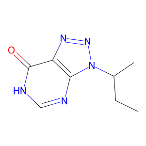 CCC(C)n1nnc2c(=O)[nH]cnc21